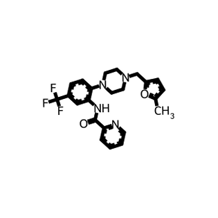 Cc1ccc(CN2CCN(c3ccc(C(F)(F)F)cc3NC(=O)c3ccccn3)CC2)o1